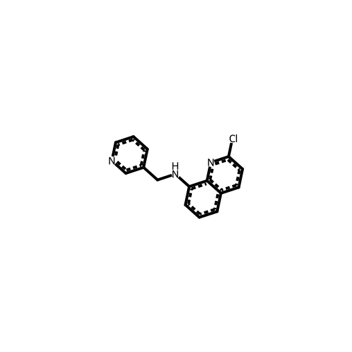 Clc1ccc2cccc(NCc3cccnc3)c2n1